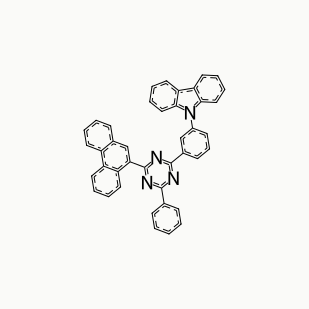 c1ccc(-c2nc(-c3cccc(-n4c5ccccc5c5ccccc54)c3)nc(-c3cc4ccccc4c4ccccc34)n2)cc1